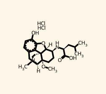 CO[C@@]12CC[C@H](N[C@@H](CC(C)C)C(=O)O)[C@@H]3Oc4c(O)ccc5c4[C@@]31CCN(C)[C@@H]2C5.Cl.Cl